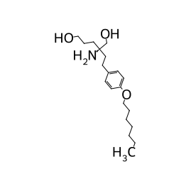 CCCCCCCOc1ccc(CC[C@@](N)(CO)CCCO)cc1